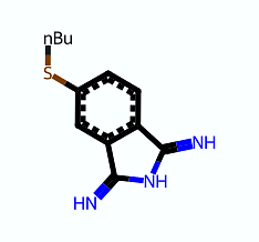 CCCCSc1ccc2c(c1)C(=N)NC2=N